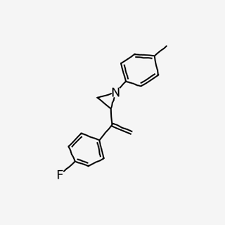 C=C(c1ccc(F)cc1)C1CN1c1ccc(C)cc1